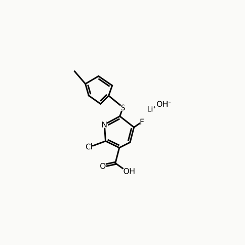 Cc1ccc(Sc2nc(Cl)c(C(=O)O)cc2F)cc1.[Li+].[OH-]